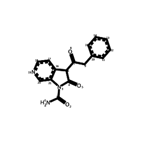 NC(=O)N1C(=O)C(C(=O)Cc2ccccc2)c2ccncc21